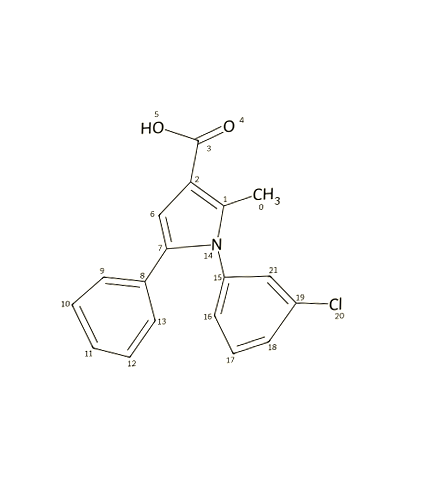 Cc1c(C(=O)O)cc(-c2ccccc2)n1-c1cccc(Cl)c1